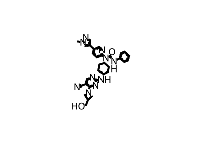 Cn1cc(-c2ccc(N(C(=O)Nc3ccccc3)[C@H]3CC[C@@H](Nc4ncc(C#N)c(N5CC(CO)C5)n4)CC3)nc2)cn1